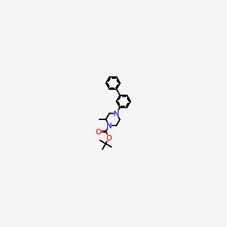 CC1CN(c2cccc(-c3ccccc3)c2)CCN1C(=O)OC(C)(C)C